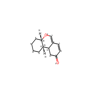 O=C1C=CC2=CO[C@H]3CCCC[C@H]3C2C1